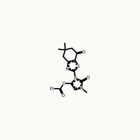 CCC(=O)Oc1cn(C)c(=O)n1-c1nc2c(s1)C(=O)CC(C)(C)C2